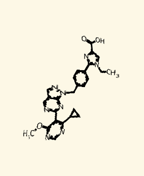 CCn1cc(C(=O)O)nc1-c1ccc(Cn2ncc3cnc(-c4c(OC)ncnc4C4CC4)nc32)cc1